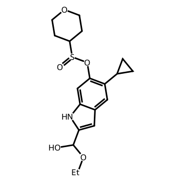 CCOC(O)c1cc2cc(C3CC3)c(OS(=O)C3CCOCC3)cc2[nH]1